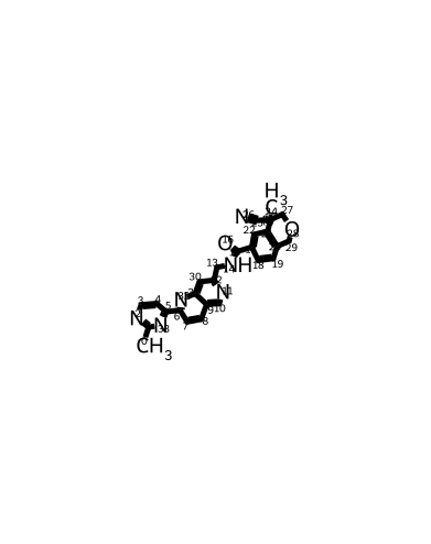 Cc1nccc(-c2ccc3cnc(CNC(=O)c4ccc5c(c4)[C@](C)(C#N)COC5)cc3n2)n1